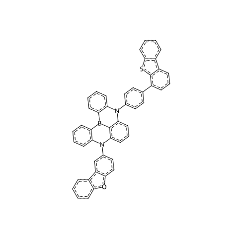 c1ccc2c(c1)B1c3ccccc3N(c3ccc4oc5ccccc5c4c3)c3cccc(c31)N2c1ccc(-c2cccc3c2sc2ccccc23)cc1